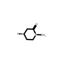 CN1CC[C@@H](F)CC1=O